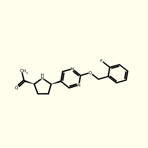 CC(=O)[C@@H]1CC[C@H](c2cnc(OCc3ccccc3F)nc2)N1